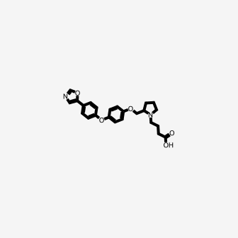 O=C(O)CCCN1CCCC1COc1ccc(Oc2ccc(-c3cnco3)cc2)cc1